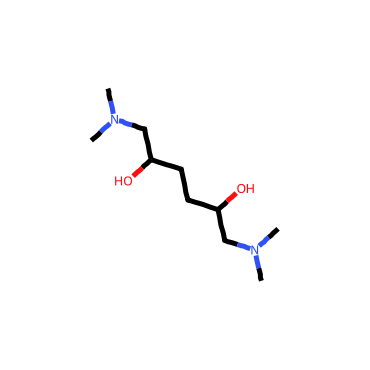 CN(C)CC(O)CCC(O)CN(C)C